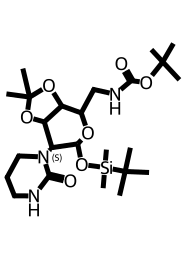 CC(C)(C)OC(=O)NCC1OC(O[Si](C)(C)C(C)(C)C)[C@@H](N2CCCNC2=O)C2OC(C)(C)OC12